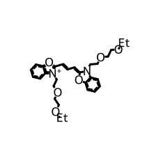 CCOCCOCCN1/C(=C/C=C/c2oc3ccccc3[n+]2CCOCCOCC)Oc2ccccc21